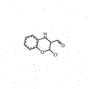 O=CC1Nc2ccccc2OC1Cl